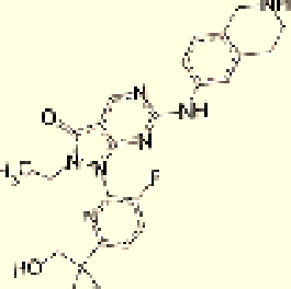 CCn1c(=O)c2cnc(Nc3ccc4c(c3)CCNC4)nc2n1-c1nc(C2(CO)CC2)ccc1F